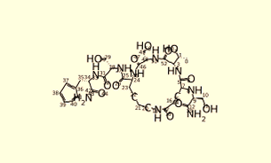 C[C@@H](O)[C@@H]1NC(=O)C(N[C@@H](CO)C(N)=O)CCC(=O)NCCCCC(C(=O)N[C@@H](CO)C(=O)N[C@@H](Cc2ccccc2)C(N)=O)NC(=O)[C@H](CO)NC1=O